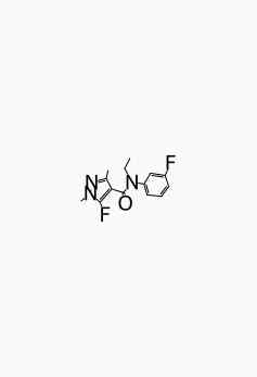 CCN(C(=O)c1c(C)nn(C)c1F)c1cccc(F)c1